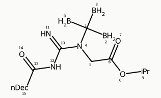 BC(B)(B)N(CC(=O)OC(C)C)C(=N)NC(=O)CCCCCCCCCC